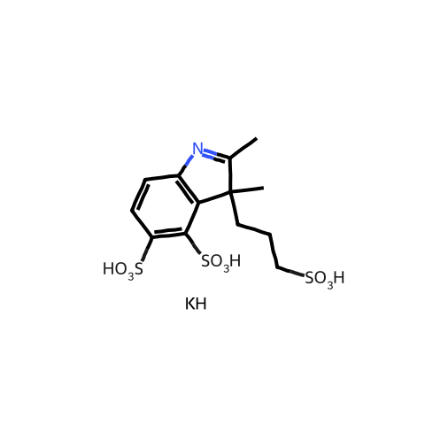 CC1=Nc2ccc(S(=O)(=O)O)c(S(=O)(=O)O)c2C1(C)CCCS(=O)(=O)O.[KH]